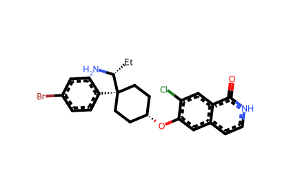 CC[C@@H](N)[C@]1(c2ccc(Br)cc2)CC[C@@H](Oc2cc3cc[nH]c(=O)c3cc2Cl)CC1